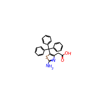 Nc1nc(CC(=O)O)c(C(c2ccccc2)(c2ccccc2)c2ccccc2)s1